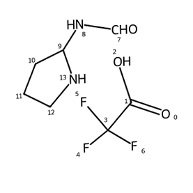 O=C(O)C(F)(F)F.O=CNC1CCCN1